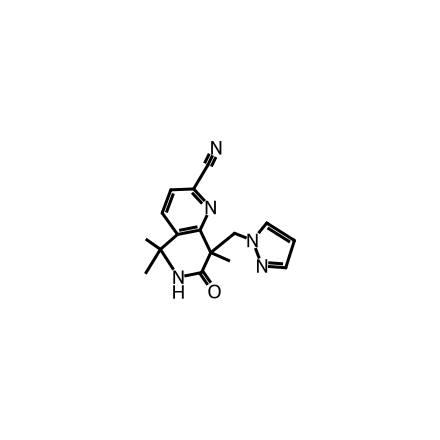 CC1(C)NC(=O)C(C)(Cn2cccn2)c2nc(C#N)ccc21